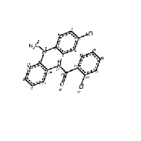 CN(c1ccc(Cl)cc1)c1ncccc1NC(=O)c1ccccc1Cl